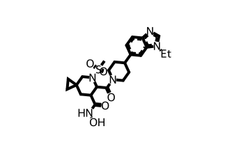 CCn1cnc2ccc(C3CCN(C(=O)C4C(C(=O)NO)CC5(CC5)CN4S(C)(=O)=O)CC3)cc21